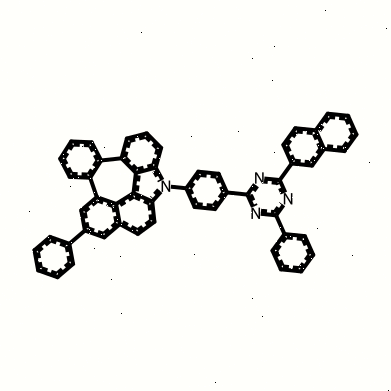 c1ccc(-c2cc3c4c(ccc5c4c4c(cccc4n5-c4ccc(-c5nc(-c6ccccc6)nc(-c6ccc7ccccc7c6)n5)cc4)-c4ccccc4-3)c2)cc1